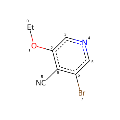 CCOc1cncc(Br)c1C#N